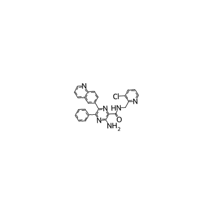 Nc1nc(-c2ccccc2)c(-c2ccc3ncccc3c2)nc1C(=O)NCc1ncccc1Cl